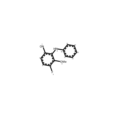 COc1c(F)ccc(N=O)c1Nc1ccccc1